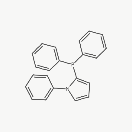 c1ccc(-n2cccc2P(c2ccccc2)c2ccccc2)cc1